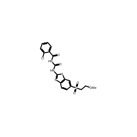 COCCS(=O)(=O)c1ccc2nc(NC(=O)NC(=O)c3ccccc3Cl)sc2c1